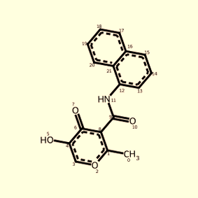 Cc1occ(O)c(=O)c1C(=O)Nc1cccc2ccccc12